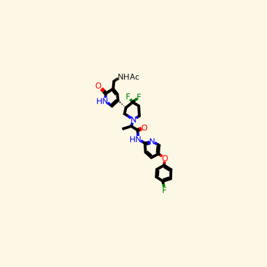 CC(=O)NCc1cc([C@H]2CN(C(C)C(=O)Nc3ccc(Oc4ccc(F)cc4)cn3)CCC2(F)F)c[nH]c1=O